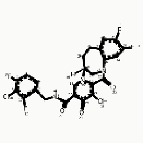 O=C(NCc1ccc(F)c(Cl)c1F)c1cn2c(c(O)c1=O)C(=O)N1C[C@H]2CCc2cc(F)c(F)cc21